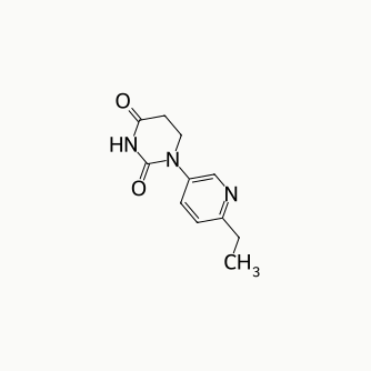 CCc1ccc(N2CCC(=O)NC2=O)cn1